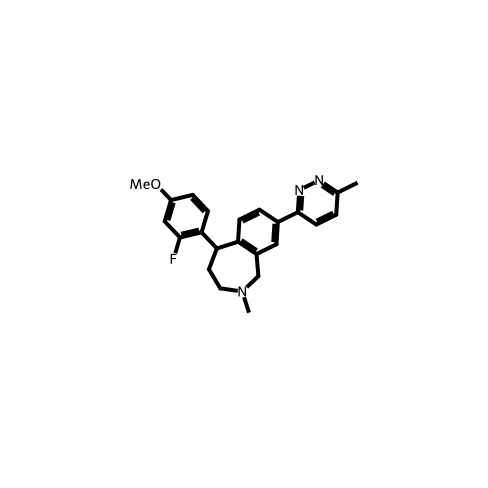 COc1ccc(C2CCN(C)Cc3cc(-c4ccc(C)nn4)ccc32)c(F)c1